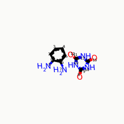 Nc1ccccc1N.O=c1[nH]c(=O)[nH]c(=O)[nH]1